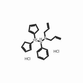 C=CCN(CC=C)[SiH](c1ccccc1)[Hf]([C]1=CC=CC1)[C]1=CC=CC1.Cl.Cl